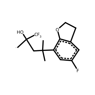 [CH2]C(O)(CC(C)(C)c1cc(F)cc2c1OCC2)C(F)(F)F